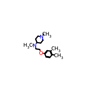 Cc1ccc(OCCN(C)C2CCN(C)CC2)cc1C